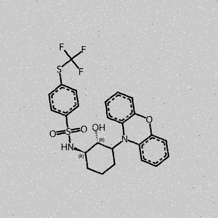 O=S(=O)(N[C@@H]1CCCC(N2c3ccccc3Oc3ccccc32)[C@H]1O)c1ccc(SC(F)(F)F)cc1